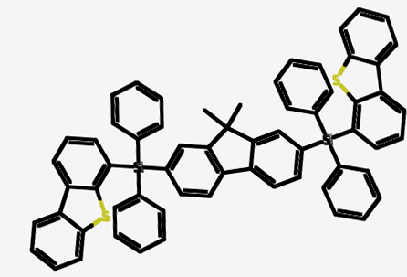 CC1(C)c2cc([Si](c3ccccc3)(c3ccccc3)c3cccc4c3sc3ccccc34)ccc2-c2ccc([Si](c3ccccc3)(c3ccccc3)c3cccc4c3sc3ccccc34)cc21